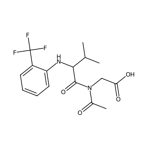 CC(=O)N(CC(=O)O)C(=O)C(Nc1ccccc1C(F)(F)F)C(C)C